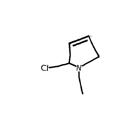 CN1C[C]=CC1Cl